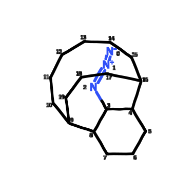 [N-]=[N+]=NC1C2CCCC1C1CCCCCCC2CCC1